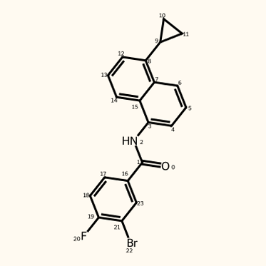 O=C(Nc1cccc2c(C3CC3)cccc12)c1ccc(F)c(Br)c1